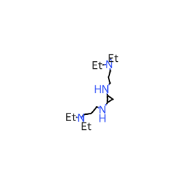 CCN(CC)CCCNC1CC1NCCCN(CC)CC